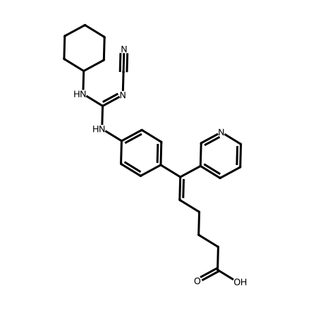 N#CN=C(Nc1ccc(C(=CCCCC(=O)O)c2cccnc2)cc1)NC1CCCCC1